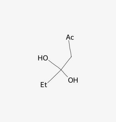 CCC(O)(O)CC(C)=O